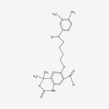 Cc1ccc([S+]([O-])CCCCOc2cc3c(cc2[N+](=O)[O-])NC(=O)OC3(C)C)cc1C